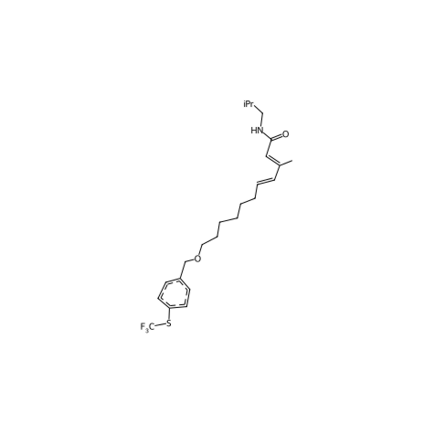 CC(C=CCCCCCCOCc1ccc(SC(F)(F)F)cc1)=CC(=O)NCC(C)C